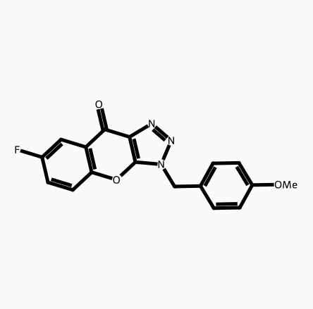 COc1ccc(Cn2nnc3c(=O)c4cc(F)ccc4oc32)cc1